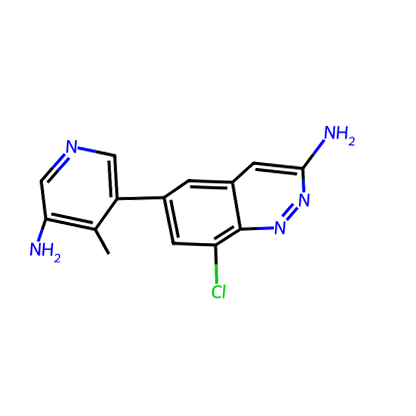 Cc1c(N)cncc1-c1cc(Cl)c2nnc(N)cc2c1